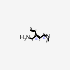 C=C/C(=C\C=N/C)CN